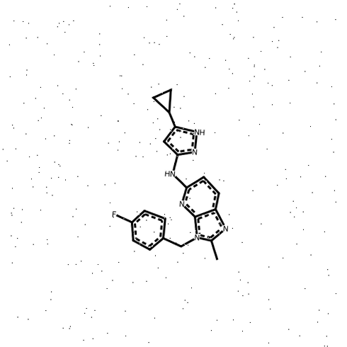 Cc1nc2ccc(Nc3cc(C4CC4)[nH]n3)nc2n1Cc1ccc(F)cc1